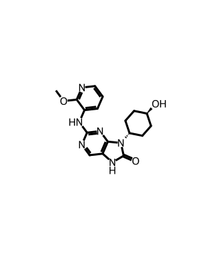 COc1ncccc1Nc1ncc2[nH]c(=O)n([C@H]3CC[C@H](O)CC3)c2n1